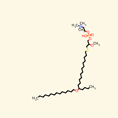 CCCCCCCCCCCCCCOC(CCCC)CCCCCCCCCCCCCSCC(COP(=O)(O)OCC[N+](C)(C)C)OC